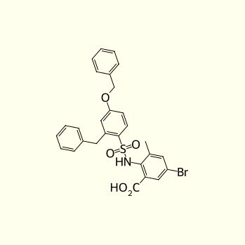 Cc1cc(Br)cc(C(=O)O)c1NS(=O)(=O)c1ccc(OCc2ccccc2)cc1Cc1ccccc1